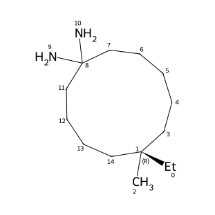 CC[C@]1(C)CCCCCC(N)(N)CCCC1